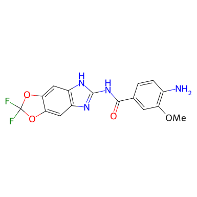 COc1cc(C(=O)Nc2nc3cc4c(cc3[nH]2)OC(F)(F)O4)ccc1N